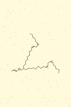 C/C=C/OCC(CCCCCCCC/C=C\C/C=C\CCCCC)CCCCCCCC/C=C\C/C=C\CCCCC